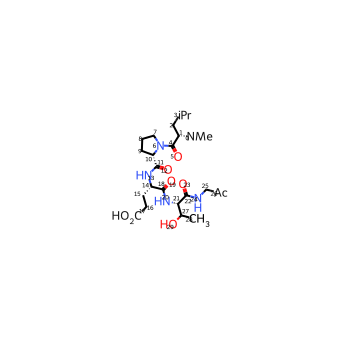 CN[C@@H](CC(C)C)C(=O)N1CCC[C@H]1C(=O)N[C@@H](CCC(=O)O)C(=O)N[C@H](C(=O)NCC(C)=O)C(C)O